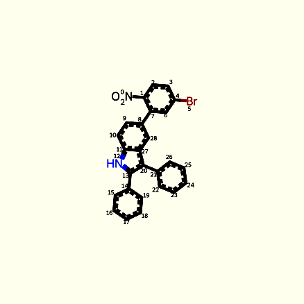 O=[N+]([O-])c1ccc(Br)cc1-c1ccc2[nH]c(-c3ccccc3)c(-c3ccccc3)c2c1